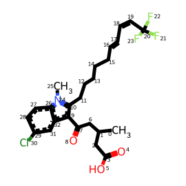 CC(CC(=O)O)CC(=O)c1c(CCCCCC=C/C=C\C(F)(F)F)n(C)c2ccc(Cl)cc12